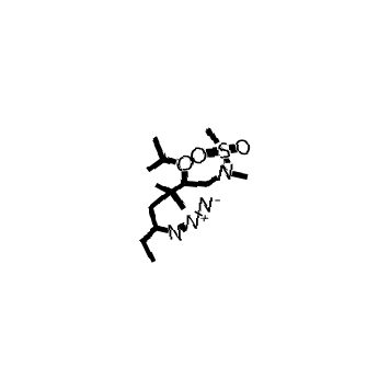 CCC(CC(C)(C)C(CN(C)S(C)(=O)=O)OC(C)C)N=[N+]=[N-]